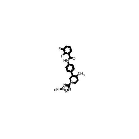 CCCn1nnc(N2CCC(C)=C(c3ccc(NC(=O)c4cccc(F)c4F)cc3)C2)n1